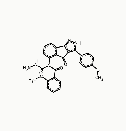 COc1ccc(-c2[nH]nc3c2C(=O)c2c-3cccc2N(C(=O)NN)C(=O)c2ccccc2OC)cc1